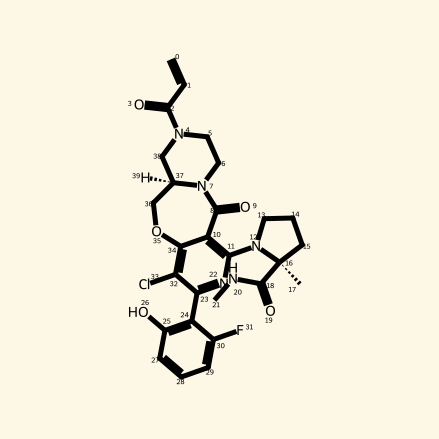 C=CC(=O)N1CCN2C(=O)c3c(N4CCC[C@@]4(C)C(=O)NC)nc(-c4c(O)cccc4F)c(Cl)c3OC[C@H]2C1